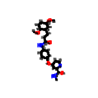 CNC(=O)c1cc(Oc2ccc(NC(=O)/C=C/c3cc(OC)ccc3OC)cc2)ccn1